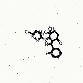 CC1(C)CCC(=O)c2c(-c3ccccc3F)nn(-c3ccc(Cl)nn3)c21